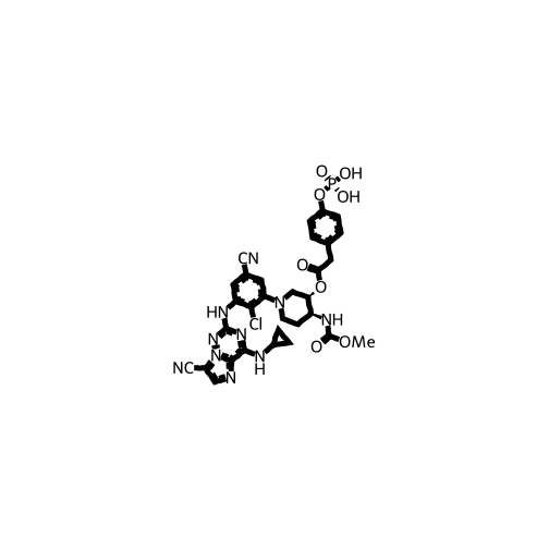 COC(=O)N[C@H]1CCN(c2cc(C#N)cc(Nc3nc(NC4CC4)c4ncc(C#N)n4n3)c2Cl)C[C@@H]1OC(=O)Cc1ccc(OP(=O)(O)O)cc1